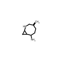 C=C1CCC(N)C2CC2NC1